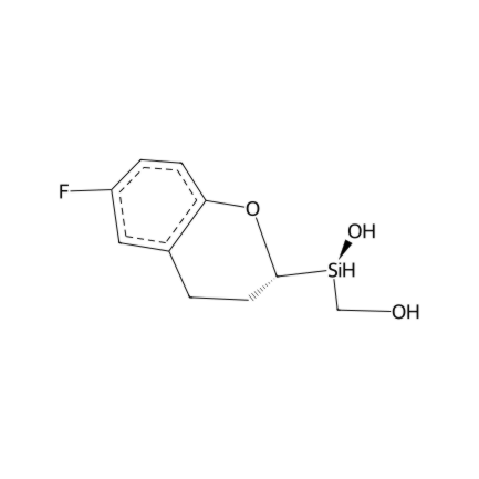 OC[Si@H](O)[C@@H]1CCc2cc(F)ccc2O1